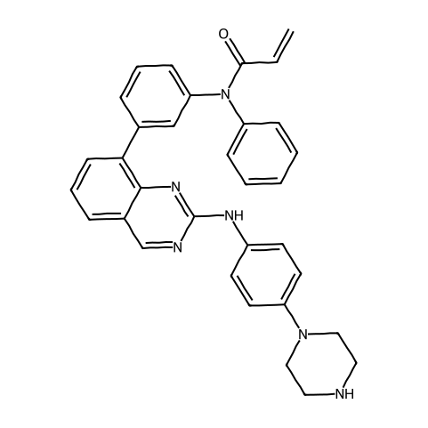 C=CC(=O)N(c1ccccc1)c1cccc(-c2cccc3cnc(Nc4ccc(N5CCNCC5)cc4)nc23)c1